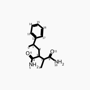 CC(CC(C(N)=O)C(C)C(N)=O)c1ccccc1